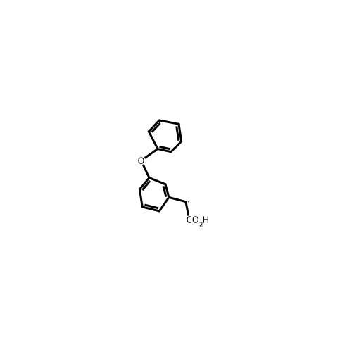 O=C(O)[CH]c1cccc(Oc2ccccc2)c1